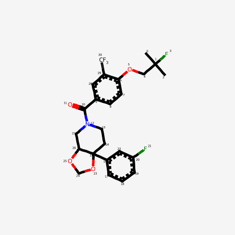 CC(C)(F)COc1ccc(C(=O)N2CCC3(c4cccc(F)c4)OCOC3C2)cc1C(F)(F)F